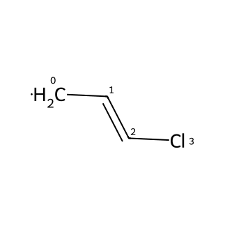 [CH2]/C=C/Cl